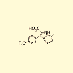 Cc1cccc2c(-c3ccc(C(F)(F)F)cc3)c(C(=O)O)[nH]c12